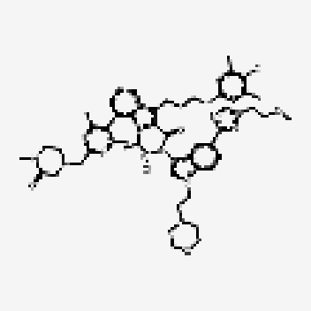 COCCn1cnc(-c2ccc3c(c2)c(N2C(=O)c4c(CCCOc5cc(C)c(Cl)c(C)c5)c5cccc(-c6c(C)nc(CN7CCN(C)C(=O)C7)nc6C)c5n4C(C)[C@H]2Cl)cn3CCN2CCOCC2)n1